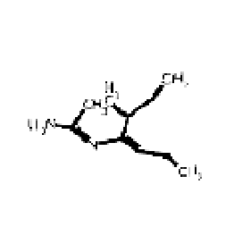 CC/C=C(/N=C(\C)N)C(C)CC